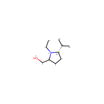 CCN1C(CO)CC[C@H]1C(C)C